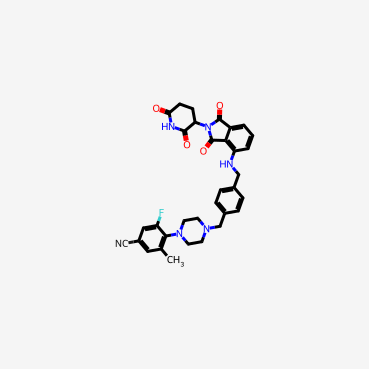 Cc1cc(C#N)cc(F)c1N1CCN(Cc2ccc(CNc3cccc4c3C(=O)N(C3CCC(=O)NC3=O)C4=O)cc2)CC1